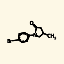 CC1CC(=O)N(c2ccc(Br)cc2)C1